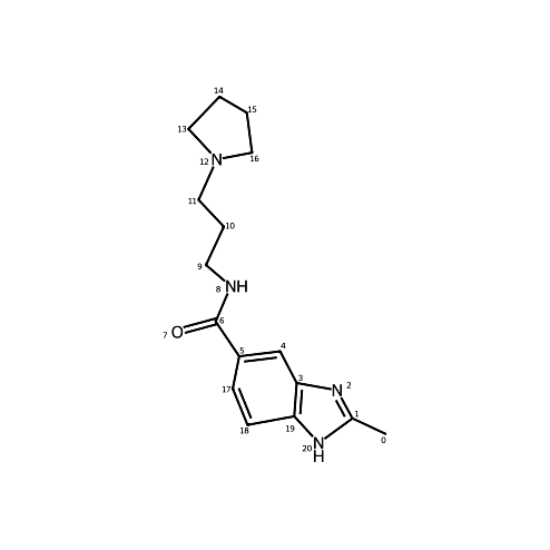 Cc1nc2cc(C(=O)NCCCN3CCCC3)ccc2[nH]1